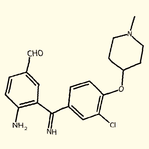 CN1CCC(Oc2ccc(C(=N)c3cc(C=O)ccc3N)cc2Cl)CC1